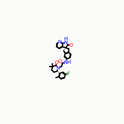 Cc1ccc(F)cc1[C@@H]1CCC(C)(C)C(=O)N1CC(=O)Nc1ccc2c(c1)C[C@@]1(C2)C(=O)Nc2ncccc21